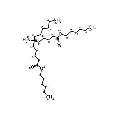 CCCCCCOC(=O)CCCCC(N)(CCCCCN)CCCCC(=O)OCCCCCC